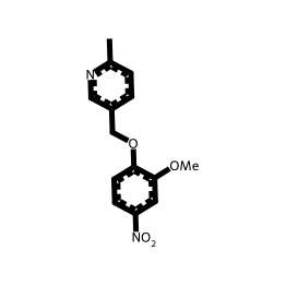 COc1cc([N+](=O)[O-])ccc1OCc1ccc(C)nc1